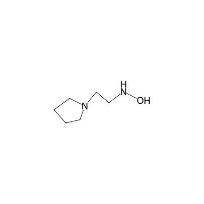 ONCCN1CCCC1